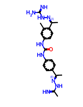 CC(=N)N/N=C(\C)c1ccc(NC(=O)Nc2ccc(/C(C)=N\NC(=N)N)c(C)c2)cc1